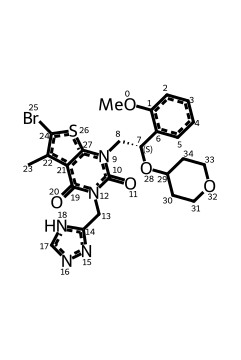 COc1ccccc1[C@@H](Cn1c(=O)n(Cc2nnc[nH]2)c(=O)c2c(C)c(Br)sc21)OC1CCOCC1